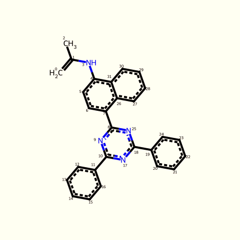 C=C(C)Nc1ccc(-c2nc(-c3ccccc3)nc(-c3ccccc3)n2)c2ccccc12